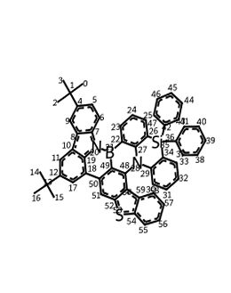 CC(C)(C)c1ccc2c(c1)c1cc(C(C)(C)C)cc3c1n2B1c2cccc4c2N(c2ccccc2[Si]4(c2ccccc2)c2ccccc2)c2c1c-3cc1sc3ccccc3c21